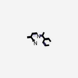 C=C(C#N)/C=C\N=C(/C)C(=CC)/C=C\C